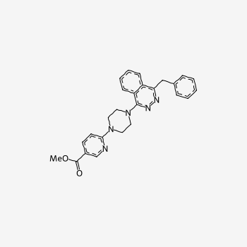 COC(=O)c1ccc(N2CCN(c3nnc(Cc4ccccc4)c4ccccc34)CC2)nc1